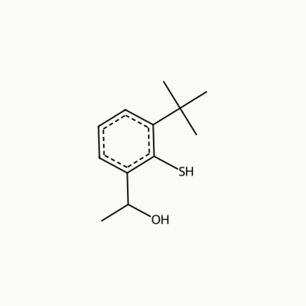 CC(O)c1cccc(C(C)(C)C)c1S